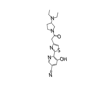 CCN(CC)C1CCN(C(=O)Cc2csc(-c3ncc(C#N)cc3O)n2)C1